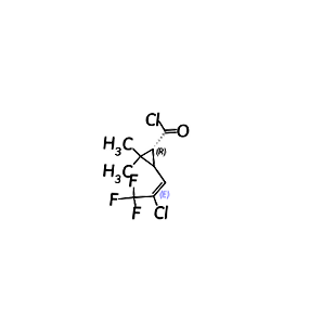 CC1(C)C(/C=C(/Cl)C(F)(F)F)[C@H]1C(=O)Cl